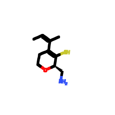 C/C=C(/C)C1=C(S)[C@H](CN)OCC1